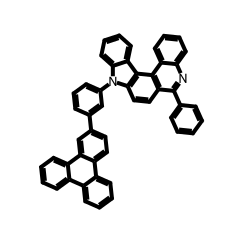 c1ccc(-c2nc3ccccc3c3c2ccc2c3c3ccccc3n2-c2cccc(-c3ccc4c5ccccc5c5ccccc5c4c3)c2)cc1